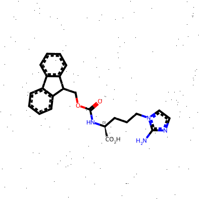 Nc1nccn1CCC[C@H](NC(=O)OCC1c2ccccc2-c2ccccc21)C(=O)O